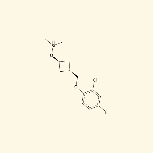 C[SiH](C)O[C@H]1C[C@@H](COc2ccc(F)cc2Cl)C1